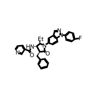 CC[C@@H]1[C@@H](NC(=O)c2cccnc2)[C@H](Cc2ccccc2)C(=O)N1c1ccc2c(cnn2-c2ccc(F)cc2)c1